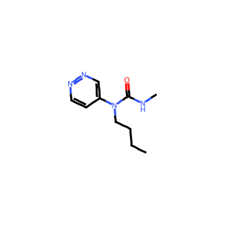 CCCCN(C(=O)NC)c1ccnnc1